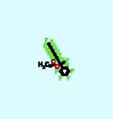 C=CC(=O)OC(c1c(F)c(F)c(F)c(F)c1F)(C(F)(F)F)C(F)(F)C(F)(F)C(F)(F)C(F)(F)C(F)(F)C(F)(F)F